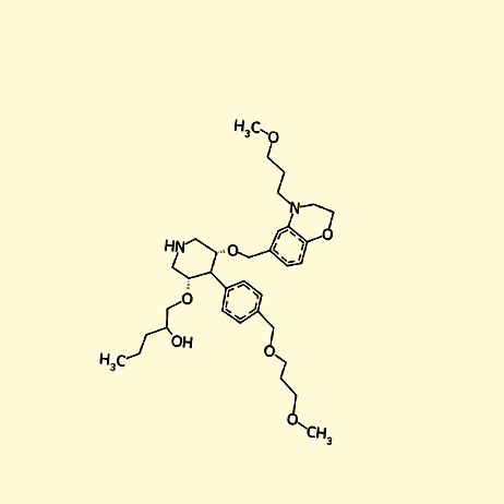 CCCC(O)CO[C@@H]1CNC[C@H](OCc2ccc3c(c2)N(CCCOC)CCO3)C1c1ccc(COCCCOC)cc1